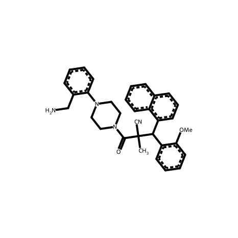 COc1ccccc1C(c1cccc2ccccc12)C(C)(C#N)C(=O)N1CCN(c2ccccc2CN)CC1